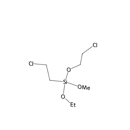 CCO[Si](CCCl)(OC)OCCCl